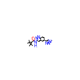 Cn1cc(-c2ccc3nnc(NC(=O)C4C(C)(C)C4(C)C)cc3c2)nn1